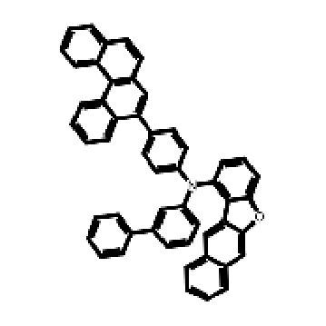 c1ccc(-c2cccc(N(c3ccc(-c4cc5ccc6ccccc6c5c5ccccc45)cc3)c3cccc4oc5cc6ccccc6cc5c34)c2)cc1